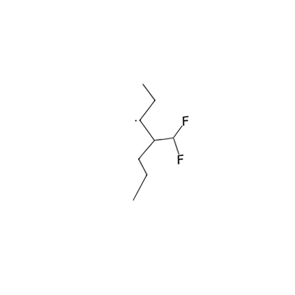 CC[CH]C(CCC)C(F)F